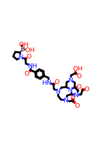 O=C(O)CN1CC2CN(CC(=O)NCc3ccc(C(=O)NCC(=O)N4CCC[C@H]4B(O)O)cc3)CCN3CC(=O)OC4(C3)N3CC(=O)OC(C1)(C3)N24